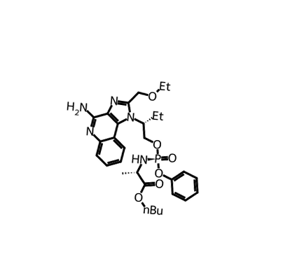 CCCCOC(=O)[C@H](C)N[P@](=O)(OC[C@@H](CC)n1c(COCC)nc2c(N)nc3ccccc3c21)Oc1ccccc1